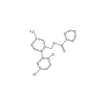 O=C(OCc1cc(C(F)(F)F)ccc1-c1cc(Cl)ccc1Cl)c1ccccc1